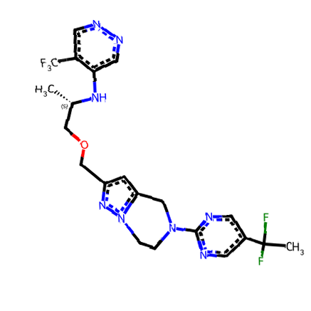 C[C@@H](COCc1cc2n(n1)CCN(c1ncc(C(C)(F)F)cn1)C2)Nc1cnncc1C(F)(F)F